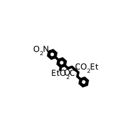 CCOC(=O)C(CCc1ccccc1)(CC(=O)c1ccc(-c2ccc([N+](=O)[O-])cc2)cc1C)C(=O)OCC